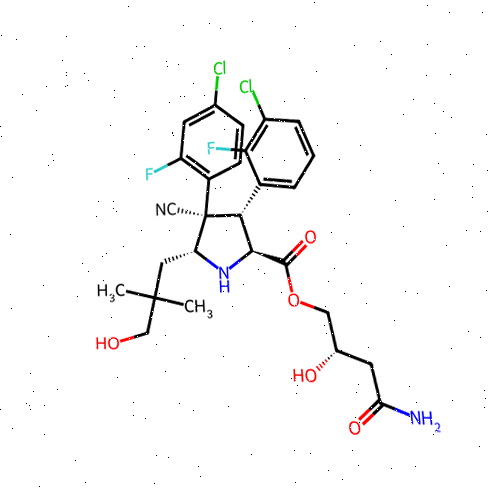 CC(C)(CO)C[C@H]1N[C@H](C(=O)OC[C@@H](O)CC(N)=O)[C@@H](c2cccc(Cl)c2F)[C@]1(C#N)c1ccc(Cl)cc1F